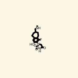 CNCC1CCc2cc(O)c(N3CC(=O)NS3(=O)=O)c(F)c2CC1